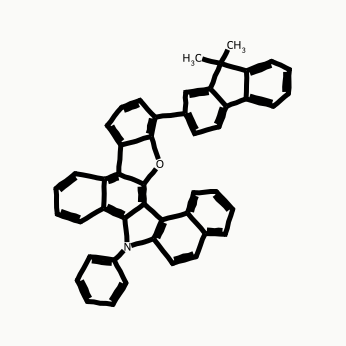 CC1(C)c2ccccc2-c2ccc(-c3cccc4c3oc3c4c4ccccc4c4c3c3c5ccccc5ccc3n4-c3ccccc3)cc21